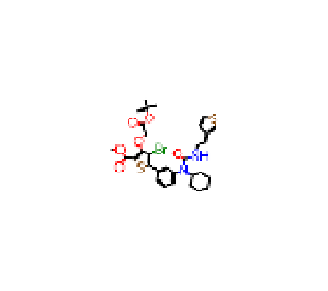 COC(=O)c1sc(-c2cccc(N(C(=O)NCCc3ccsc3)C3CCCCC3)c2)c(Br)c1OCC(=O)OC(C)(C)C